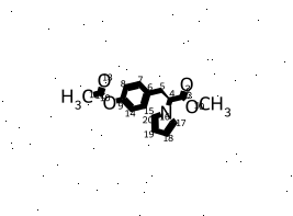 COC(=O)[C@H](Cc1ccc(OC(C)=O)cc1)n1cccc1